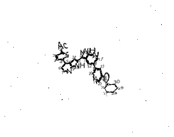 CC(=O)c1ccc(-c2ccnc3[nH]c(-c4n[nH]c5ncc(-c6cncc(OC7CCCCC7)c6)cc45)cc23)s1